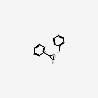 c1ccc(C[N@]2NC2c2ccccc2)cc1